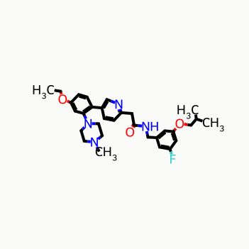 CCOc1ccc(-c2ccc(CC(=O)NCc3cc(F)cc(OCC(C)C)c3)nc2)c(N2CCN(C)CC2)c1